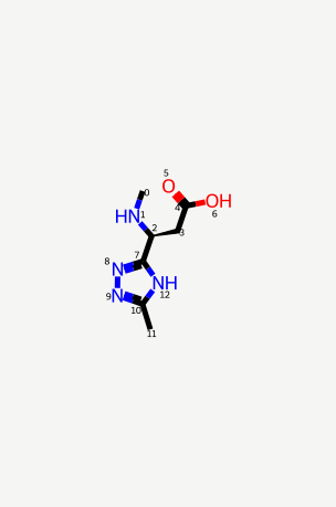 CN[C@@H](CC(=O)O)c1nnc(C)[nH]1